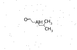 CC(C)[CH2][AlH][CH2]C=O